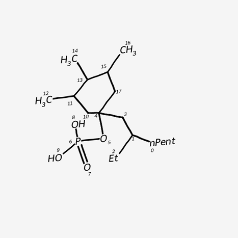 CCCCCC(CC)CC1(OP(=O)(O)O)CC(C)C(C)C(C)C1